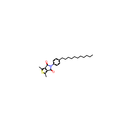 CCCCCCCCCCCc1ccc(N2C(=O)c3c(C)sc(C)c3C2=O)cc1